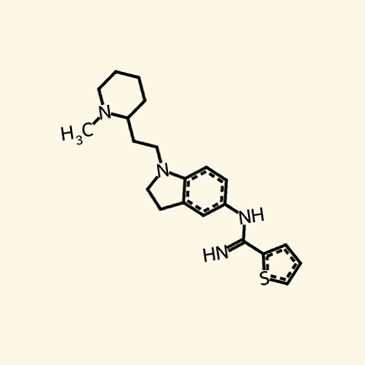 CN1CCCCC1CCN1CCc2cc(NC(=N)c3cccs3)ccc21